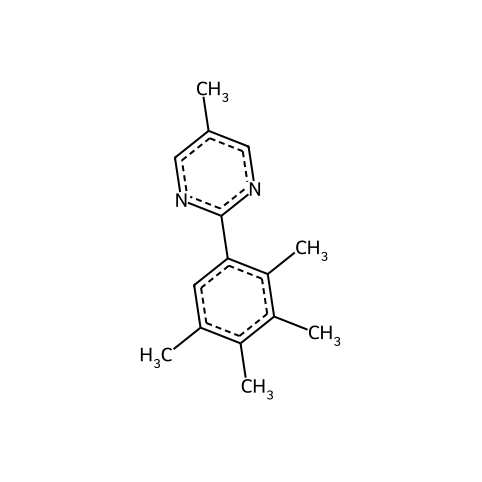 Cc1cnc(-c2cc(C)c(C)c(C)c2C)nc1